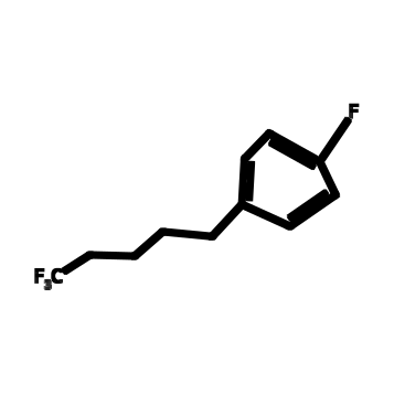 Fc1ccc(CCCCC(F)(F)F)cc1